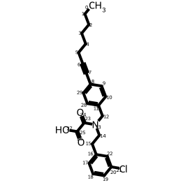 CCCCCCC#Cc1ccc(CN(CCc2cccc(Cl)c2)C(=O)C(=O)O)cc1